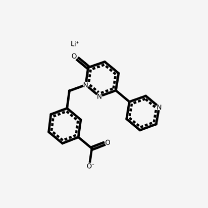 O=C([O-])c1cccc(Cn2nc(-c3cccnc3)ccc2=O)c1.[Li+]